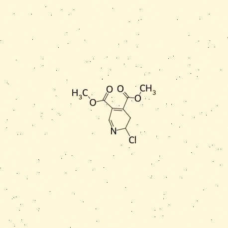 COC(=O)C1=C(C(=O)OC)CC(Cl)N=C1